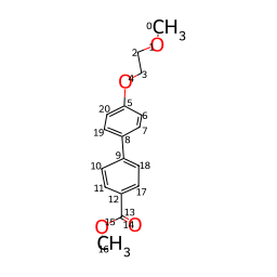 COCCOc1ccc(-c2ccc(C(=O)OC)cc2)cc1